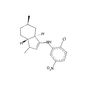 CC1C=C(Nc2cc([N+](=O)[O-])ccc2Cl)[C@@H]2C[C@H](C)CC[C@@H]12